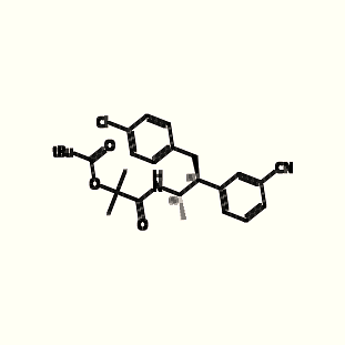 C[C@H](NC(=O)C(C)(C)OC(=O)C(C)(C)C)[C@@H](Cc1ccc(Cl)cc1)c1cccc(C#N)c1